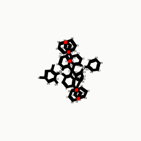 Cc1cc(C)c(B2c3ccc(-c4ccccc4)cc3C3(c4cc(-c5ccccc5)ccc42)c2cc(-c4ccccc4)ccc2N(c2ccccc2)c2ccc(-c4ccccc4)cc23)c(C)c1